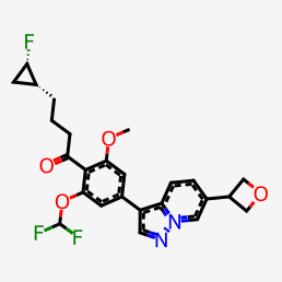 COc1cc(-c2cnn3cc(C4COC4)ccc23)cc(OC(F)F)c1C(=O)CCC[C@@H]1C[C@@H]1F